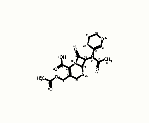 CC(=O)OCC1=C(C(=O)O)N2C(=O)C(N(C(C)=O)C3=COCCS3)C2SC1